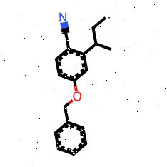 [CH2]CC(C)c1cc(OCc2ccccc2)ccc1C#N